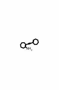 NC1=C(C#CC2=CCCCCC2)CCCCC1